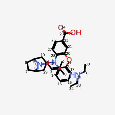 CC(C)=CCN1C2CCC1CC(N1c3ccccc3Oc3cc(C(=O)O)ccc31)C2.CCNCC